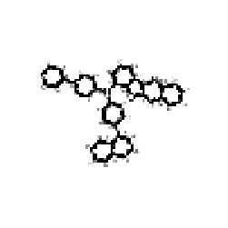 c1ccc(-c2ccc(N(c3ccc(-c4cccc5ccccc45)cc3)c3cccc4c3oc3cc5ccccc5nc34)cc2)cc1